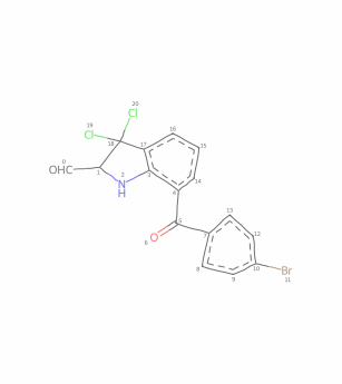 O=CC1Nc2c(C(=O)c3ccc(Br)cc3)cccc2C1(Cl)Cl